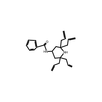 C=CCC1(CC=C)CC(NC(=O)c2ccccc2)CC(CC=C)(CC=C)N1